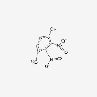 O=[N+]([O-])c1c(O)ccc(O)c1[N+](=O)[O-]